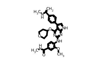 C=C(NC)c1ccc(-c2c[nH]c3nc(Nc4ccc(C(=O)NC)cc4OC)nc(OC4CCOCC4)c23)cc1